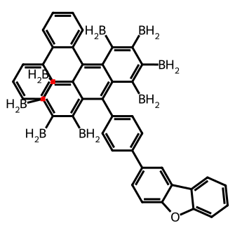 Bc1c(B)c(B)c2c(-c3ccccc3-c3ccccc3)c3c(B)c(B)c(B)c(B)c3c(-c3ccc(-c4ccc5oc6ccccc6c5c4)cc3)c2c1B